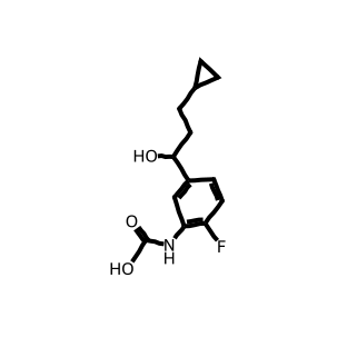 O=C(O)Nc1cc(C(O)CCC2CC2)ccc1F